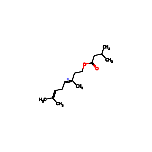 CC(C)=CC/C=C(\C)CCOC(=O)CC(C)C